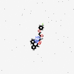 CC1C(=O)N(NC(=O)[C@H](C)NC(=O)CCOc2ccc(F)cc2)c2ccccc2-c2ccccc21